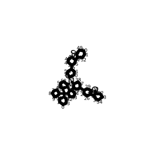 c1ccc(C2(c3ccccc3)c3ccccc3-c3c(N(c4ccc(-c5ccc6c(c5)oc5ccccc56)cc4)c4ccc(-c5ccc6sc7ccccc7c6c5)cc4)cccc32)cc1